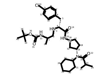 CC(CN[C@H](Cc1ccc(Cl)cc1)C(=O)NN1CC[C@H](N(C(=O)C(C)C)C2CCCCC2)C1)NC(=O)OC(C)(C)C